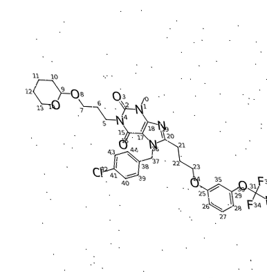 Cn1c(=O)n(CCCOC2CCCCO2)c(=O)c2c1nc(CCCOc1cccc(OC(F)(F)F)c1)n2Cc1ccc(Cl)cc1